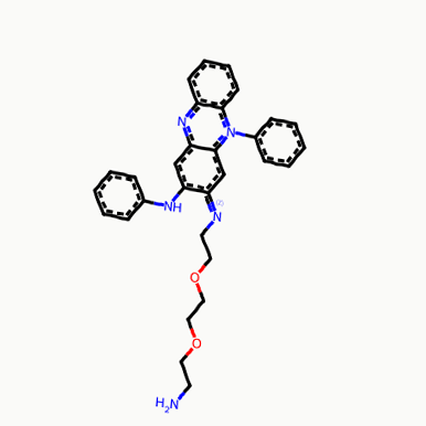 NCCOCCOCC/N=c1/cc2n(-c3ccccc3)c3ccccc3nc-2cc1Nc1ccccc1